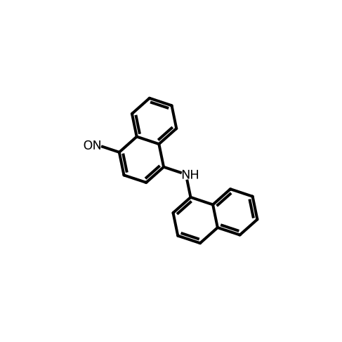 O=Nc1ccc(Nc2cccc3ccccc23)c2ccccc12